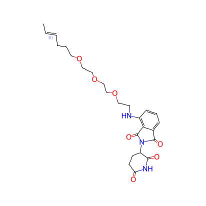 C/C=C/CCCOCCOCCOCCNc1cccc2c1C(=O)N(C1CCC(=O)NC1=O)C2=O